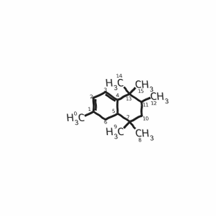 CC1=CC=C2C(C1)C(C)(C)CC(C)C2(C)C